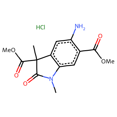 COC(=O)c1cc2c(cc1N)C(C)(C(=O)OC)C(=O)N2C.Cl